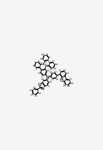 c1ccc(Cc2ccccc2-c2ccc(N(c3ccc(-c4cccc5c4oc4ccccc45)cc3)c3ccc4nc(-c5ccccc5)oc4c3)cc2Cc2ccccc2)cc1